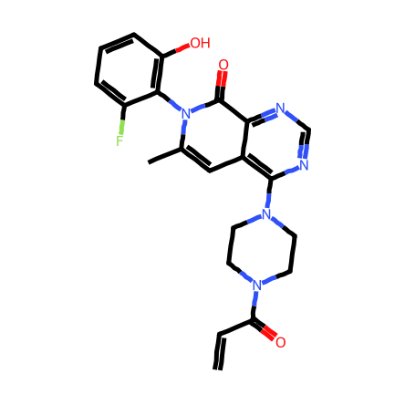 C=CC(=O)N1CCN(c2ncnc3c(=O)n(-c4c(O)cccc4F)c(C)cc23)CC1